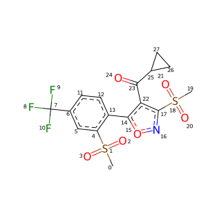 CS(=O)(=O)c1cc(C(F)(F)F)ccc1-c1onc(S(C)(=O)=O)c1C(=O)C1CC1